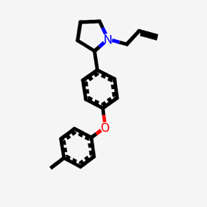 C=CCN1CCCC1c1ccc(Oc2ccc(C)cc2)cc1